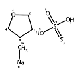 C1CCOC1.O=S(O)(O)=S.[CH3][Na]